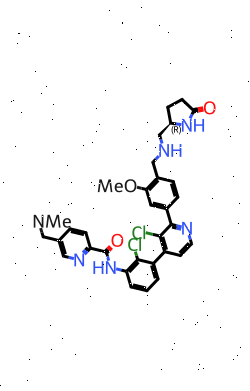 CNCc1ccc(C(=O)Nc2cccc(-c3ccnc(-c4ccc(CNC[C@H]5CCC(=O)N5)c(OC)c4)c3Cl)c2Cl)nc1